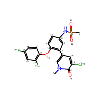 Cn1cc(-c2cc(NS(C)(=O)=O)ccc2Oc2ccc(F)cc2F)cc(Cl)c1=O